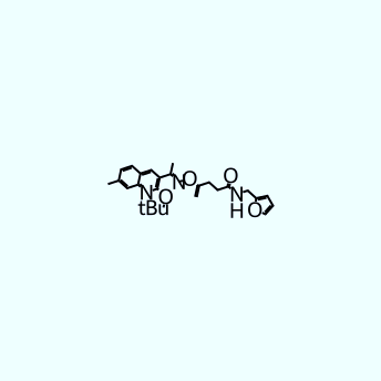 C=C(CCC(=O)NCc1ccco1)O/N=C(\C)c1cc2ccc(C)cc2nc1OC(C)(C)C